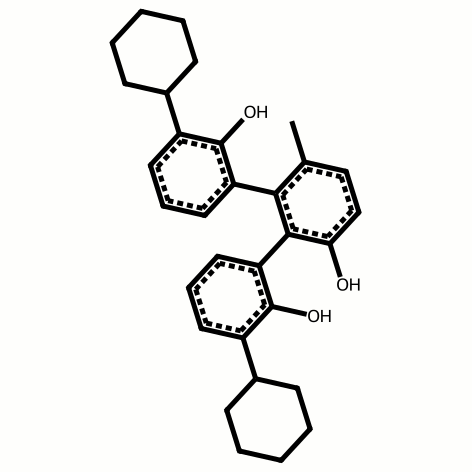 Cc1ccc(O)c(-c2cccc(C3CCCCC3)c2O)c1-c1cccc(C2CCCCC2)c1O